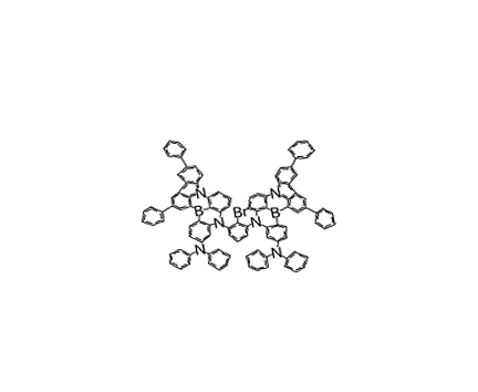 Brc1c(N2c3cc(N(c4ccccc4)c4ccccc4)ccc3B3c4c2cccc4-n2c4ccc(-c5ccccc5)cc4c4cc(-c5ccccc5)cc3c42)cccc1N1c2cc(N(c3ccccc3)c3ccccc3)ccc2B2c3c1cccc3-n1c3ccc(-c4ccccc4)cc3c3cc(-c4ccccc4)cc2c31